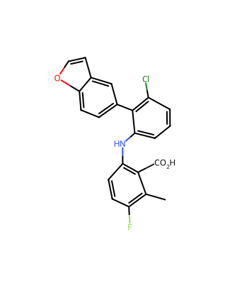 Cc1c(F)ccc(Nc2cccc(Cl)c2-c2ccc3occc3c2)c1C(=O)O